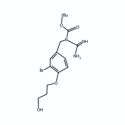 CC(C)(C)OC(=O)N(Cc1ccc(OCCCO)c(Br)c1)C(=N)N